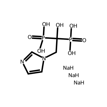 O=P(O)(O)C(O)(Cn1ccnc1)P(=O)(O)O.[NaH].[NaH].[NaH]